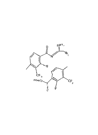 COC(=O)c1ccc(C)c(C(F)(F)F)c1F.Cc1ccc(C(=O)N=C(N)N)c(F)c1C(F)(F)F